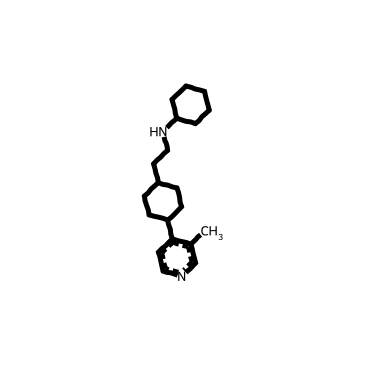 Cc1cnccc1C1CCC(CCNC2CCCCC2)CC1